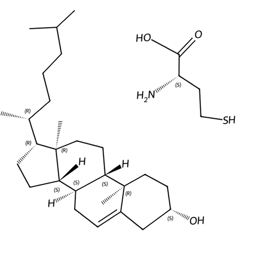 CC(C)CCC[C@@H](C)[C@H]1CC[C@H]2[C@@H]3CC=C4C[C@@H](O)CC[C@]4(C)[C@H]3CC[C@]12C.N[C@@H](CCS)C(=O)O